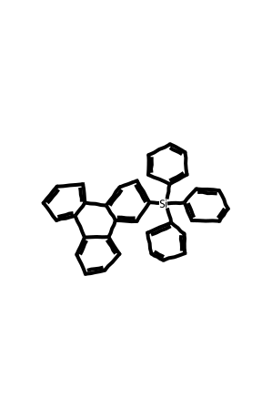 c1ccc([Si](c2ccccc2)(c2ccccc2)c2ccc3c4ccccc4c4ccccc4c3c2)cc1